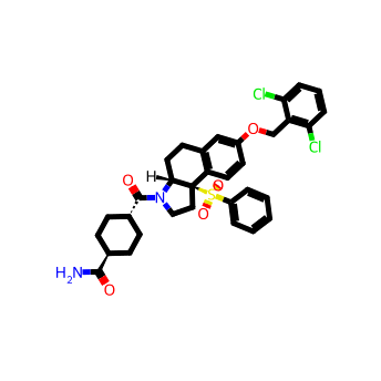 NC(=O)[C@H]1CC[C@H](C(=O)N2CC[C@@]3(S(=O)(=O)c4ccccc4)c4ccc(OCc5c(Cl)cccc5Cl)cc4CC[C@@H]23)CC1